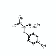 N[C@@H](Cc1ccc(O)cc1)C(=O)O.[Ni].[Pt]